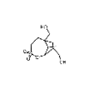 CC1C2OS(=O)(=O)CCC1(CO)CC2CO